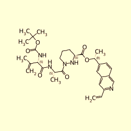 C=Cc1cc2cc([C@@H](C)OC(=O)[C@@H]3CCCN(C(=O)[C@H](C)NC(=O)[C@@H](NC(=O)OC(C)(C)C)C(=C)C)N3)ccc2cn1